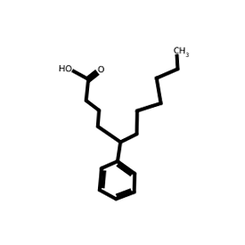 CCCCCCC(CCCC(=O)O)c1ccccc1